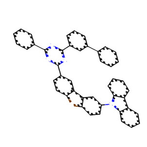 c1ccc(-c2cccc(-c3nc(-c4ccccc4)nc(-c4ccc5sc6ccc(-n7c8ccccc8c8ccccc87)cc6c5c4)n3)c2)cc1